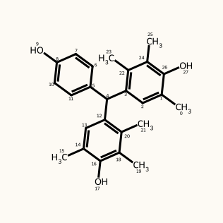 Cc1cc(C(c2ccc(O)cc2)c2cc(C)c(O)c(C)c2C)c(C)c(C)c1O